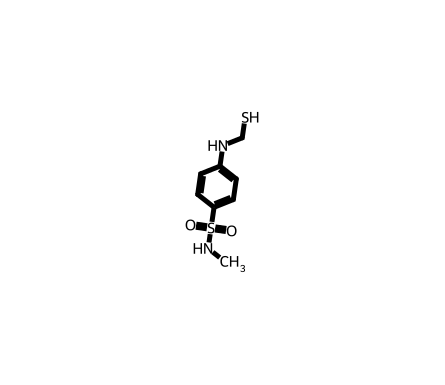 CNS(=O)(=O)c1ccc(NCS)cc1